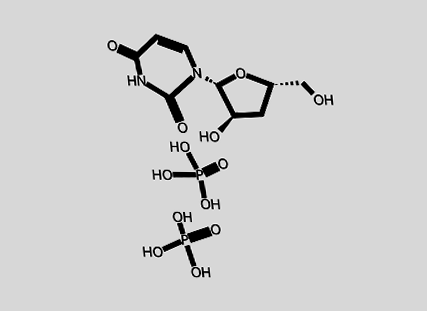 O=P(O)(O)O.O=P(O)(O)O.O=c1ccn([C@@H]2O[C@H](CO)C[C@H]2O)c(=O)[nH]1